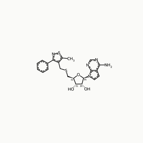 Cc1snc(-c2ccccc2)c1CSC[C@H]1O[C@@H](n2ccc3c(N)ncnc32)[C@H](O)[C@@H]1O